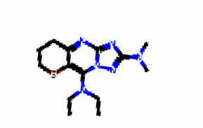 CCN(CC)c1c2c(nc3nc(N(C)C)nn13)CCCS2